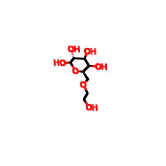 OCCOC[C@H]1O[C@@H](O)[C@H](O)[C@@H](O)[C@H]1O